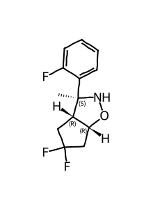 C[C@]1(c2ccccc2F)NO[C@@H]2CC(F)(F)C[C@@H]21